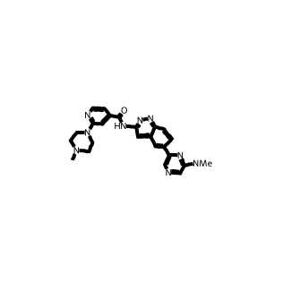 CNc1cncc(-c2ccc3nnc(NC(=O)c4ccnc(N5CCN(C)CC5)c4)cc3c2)n1